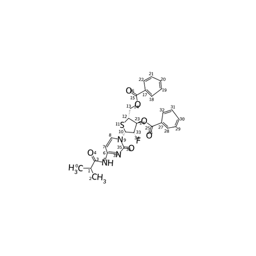 CC(C)C(=O)Nc1ccn([C@@H]2S[C@H](COC(=O)c3ccccc3)[C@@H](OC(=O)c3ccccc3)[C@@H]2F)c(=O)n1